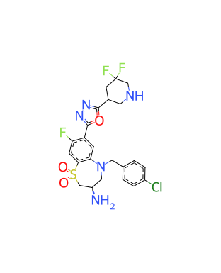 N[C@@H]1CN(Cc2ccc(Cl)cc2)c2cc(-c3nnc(C4CNCC(F)(F)C4)o3)c(F)cc2S(=O)(=O)C1